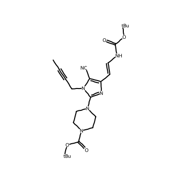 CC#CCn1c(N2CCN(C(=O)OC(C)(C)C)CC2)nc(/C=C/NC(=O)OC(C)(C)C)c1C#N